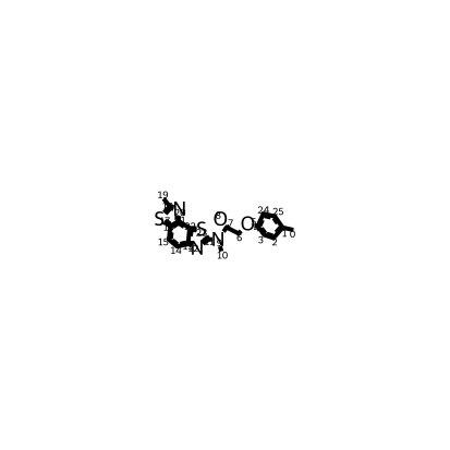 Cc1ccc(OCC(=O)N(C)c2nc3ccc4sc(C)nc4c3s2)cc1